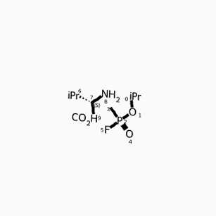 CC(C)OP(C)(=O)F.CC(C)[C@H](N)C(=O)O